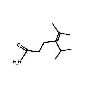 CC(C)=C(CCC(N)=O)C(C)C